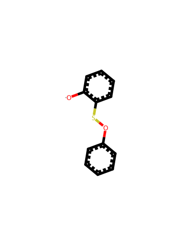 [O]c1ccccc1SOc1ccccc1